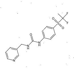 CC(F)(F)S(=O)(=O)c1ccc(NC(=O)NCc2cccnc2)cc1